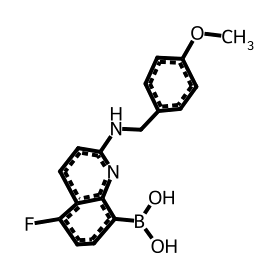 COc1ccc(CNc2ccc3c(F)ccc(B(O)O)c3n2)cc1